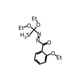 CCOc1ccccc1C(=O)N=NC([SiH3])(OCC)OCC